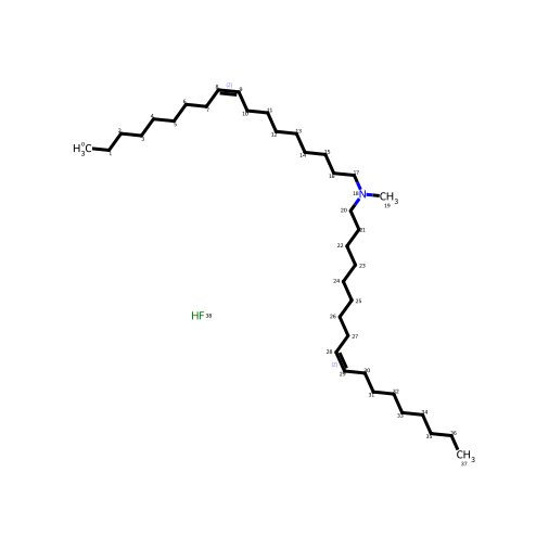 CCCCCCCC/C=C\CCCCCCCCN(C)CCCCCCCC/C=C\CCCCCCCC.F